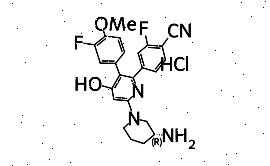 COc1ccc(-c2c(O)cc(N3CCC[C@@H](N)C3)nc2-c2ccc(C#N)c(F)c2)cc1F.Cl